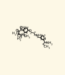 CCC(N)c1cc(CNCCCOc2ccc3c(c2)N(C)C(=O)C(C)(C)C(=O)N3C)ccn1